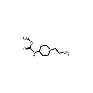 CC(C)(C)OC(=O)NC1CCN(CCC(F)(F)F)CC1